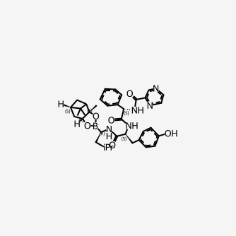 CC(C)C[C@H](NC(=O)[C@H](Cc1ccc(O)cc1)NC(=O)[C@@H](NC(=O)c1cnccn1)c1ccccc1)B1O[C@@H]2C[C@@H]3CC(C3(C)C)[C@]2(C)O1